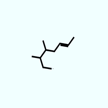 [CH2]CC(C)C(C)CC=CC